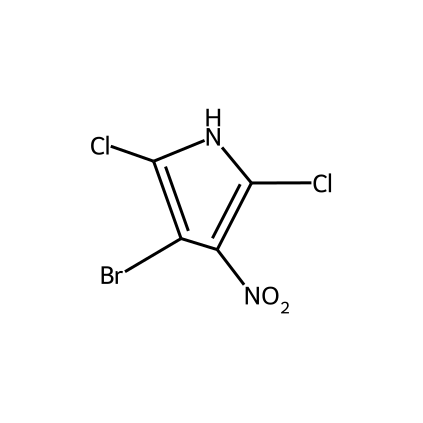 O=[N+]([O-])c1c(Cl)[nH]c(Cl)c1Br